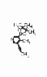 CC#Cc1cncc(B2OC(C)(C)C(C)(C)O2)c1C